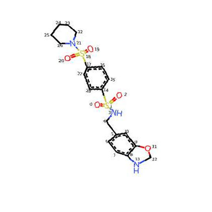 O=S(=O)(NCc1ccc2c(c1)OCN2)c1ccc(S(=O)(=O)N2CCCCC2)cc1